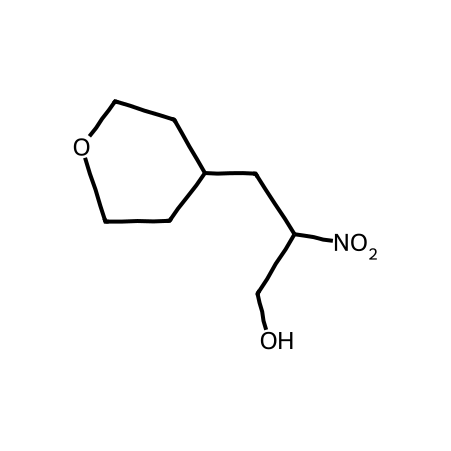 O=[N+]([O-])C(CO)CC1CCOCC1